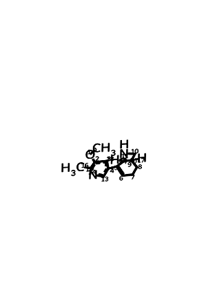 COc1cc(C2=CCC[C@H]3CN[C@@H]23)cnc1C